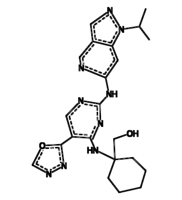 CC(C)n1ncc2cnc(Nc3ncc(-c4nnco4)c(NC4(CO)CCCCC4)n3)cc21